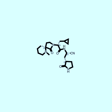 CN1CCCC[C@@]12CCN([C@H](CC1CC1)C(=O)N[C@H](C#N)C[C@@H]1CCNC1=O)C2=O